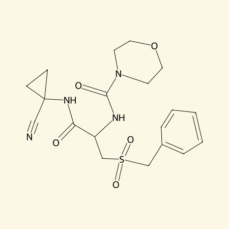 N#CC1(NC(=O)C(CS(=O)(=O)Cc2ccccc2)NC(=O)N2CCOCC2)CC1